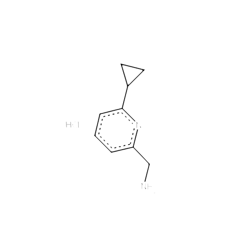 Cl.NCc1cccc(C2CC2)n1